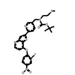 CSCCN(Cc1ccc(-c2cc3nccc(Oc4ccc([N+](=O)[O-])cc4F)c3s2)nc1)C(=O)OC(C)(C)C